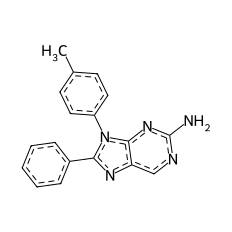 Cc1ccc(-n2c(-c3ccccc3)nc3cnc(N)nc32)cc1